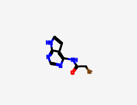 O=C(CBr)Nc1ncnc2[nH]ccc12